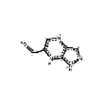 O=Cc1cnc2cn[nH]c2n1